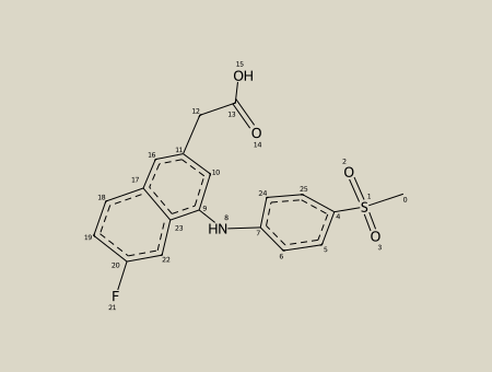 CS(=O)(=O)c1ccc(Nc2cc(CC(=O)O)cc3ccc(F)cc23)cc1